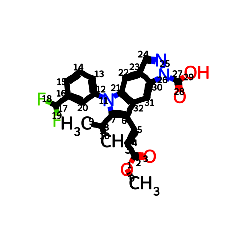 COC(=O)C=Cc1c(C(C)C)n(-c2cccc(C(F)F)c2)c2cc3cnn(C(=O)O)c3cc12